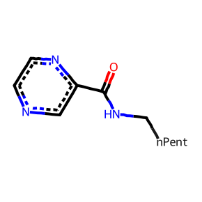 CCCCCCNC(=O)c1cnccn1